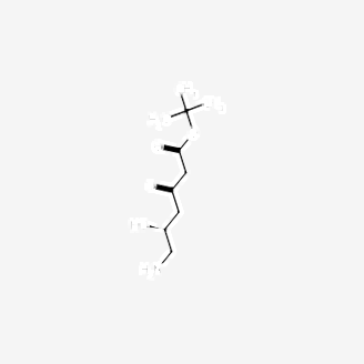 CC(C)(C)OC(=O)CC(=O)C[C@H](O)CN